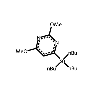 CCC[CH2][Sn]([CH2]CCC)([CH2]CCC)[c]1cc(OC)nc(OC)n1